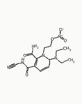 CCN(CC)C1C=CC(C(=O)NC#N)=C(C(N)=O)N1CCO[N+](=O)[O-]